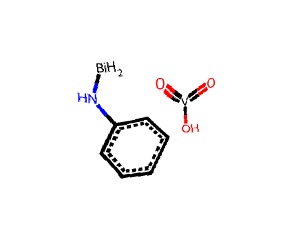 [BiH2][NH]c1ccccc1.[O]=[V](=[O])[OH]